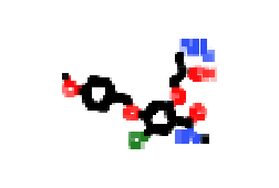 CNC(=O)c1cc(Cl)c(OCc2ccc(OC)cc2)cc1OC[C@@H](O)CN